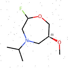 CO[C@@H]1COC(F)CN(C(C)C)C1